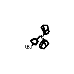 CC(C)(C)c1ccc(CP(C2C3CC4CC(C3)CC2C4)C2C3CC4CC(C3)CC2C4)cc1